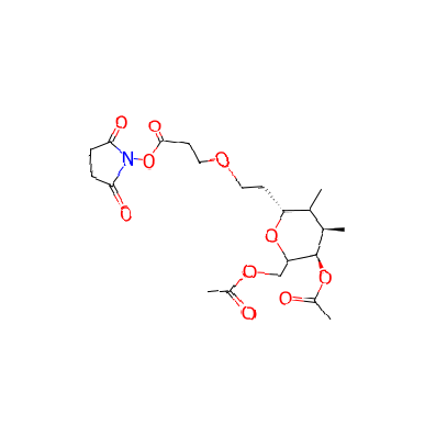 CC(=O)OCC1O[C@H](CCOCCC(=O)ON2C(=O)CCC2=O)C(C)[C@@H](C)[C@H]1OC(C)=O